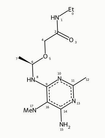 CCNC(=O)CO[C@H](C)Nc1nc(C)nc(N)c1NC